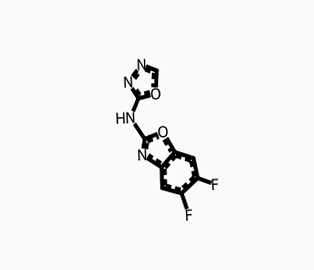 Fc1cc2nc(Nc3nnco3)oc2cc1F